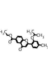 CCOC(=O)c1ccc2oc(-c3ccc(C)cc3OC(C)C)cc(=O)c2c1